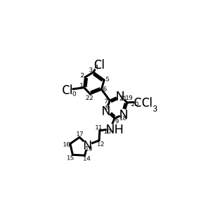 Clc1cc(Cl)cc(-c2nc(NCCN3CCCC3)nc(C(Cl)(Cl)Cl)n2)c1